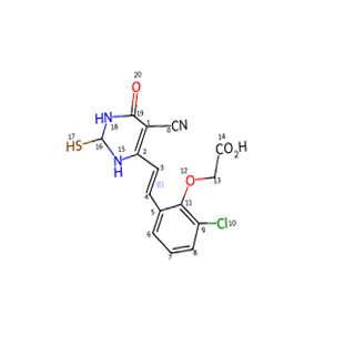 N#CC1=C(/C=C/c2cccc(Cl)c2OCC(=O)O)NC(S)NC1=O